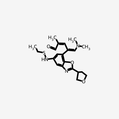 CCSNc1cc(C(/C=C(/C)C=O)=C/N(C)C)c2oc(C3CCOC3)nc2c1